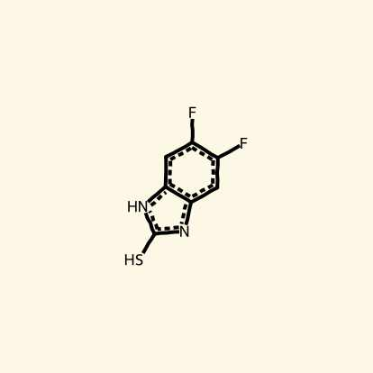 Fc1cc2nc(S)[nH]c2cc1F